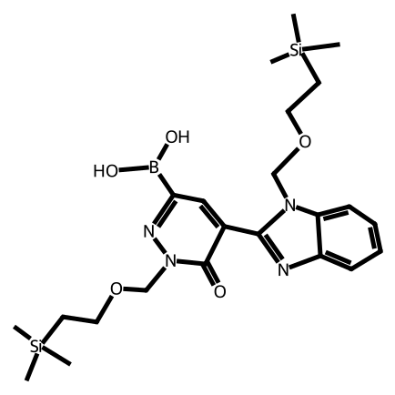 C[Si](C)(C)CCOCn1nc(B(O)O)cc(-c2nc3ccccc3n2COCC[Si](C)(C)C)c1=O